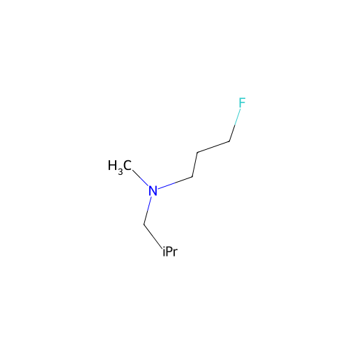 CC(C)CN(C)CCCF